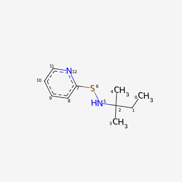 CCC(C)(C)NSc1ccccn1